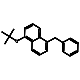 CC(C)(C)Oc1cccc2c(Cc3ccccc3)cccc12